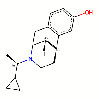 C[C@H](C1CC1)N1CC[C@]23CCCC[C@H]2C1Cc1ccc(O)cc13